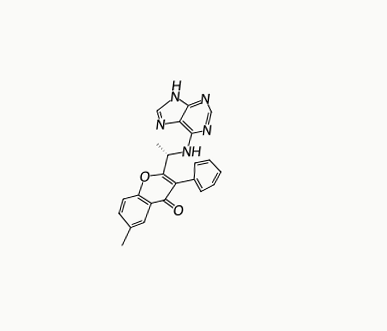 Cc1ccc2oc([C@H](C)Nc3ncnc4[nH]cnc34)c(-c3ccccc3)c(=O)c2c1